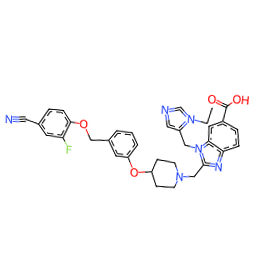 CCn1cncc1Cn1c(CN2CCC(Oc3cccc(COc4ccc(C#N)cc4F)c3)CC2)nc2ccc(C(=O)O)cc21